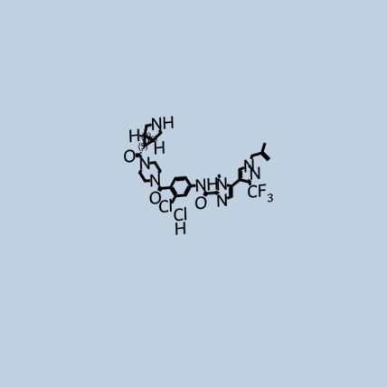 C=C(C)Cn1cc(-c2cnc(C(=O)Nc3ccc(C(=O)N4CCN(C(=O)[C@@H]5[C@@H]6CNC[C@@H]65)CC4)c(Cl)c3)n2C)c(C(F)(F)F)n1.Cl